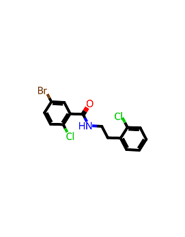 O=C(NCCc1ccccc1Cl)c1cc(Br)ccc1Cl